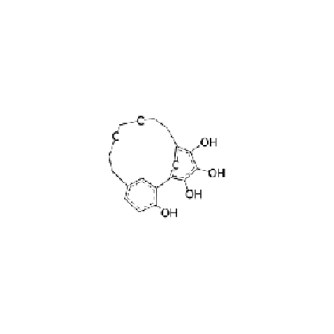 Oc1ccc2cc1-c1cc(c(O)c(O)c1O)CCCCCCC2